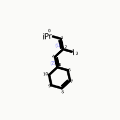 CC(C)/C=C(I)\C=C1/CC=CCC1